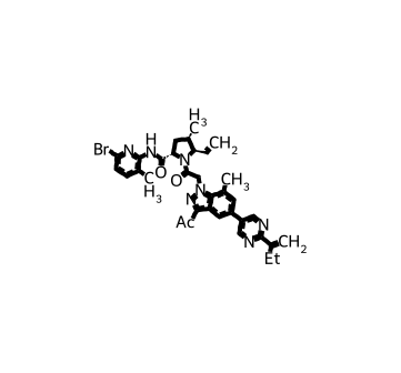 C=C[C@@H]1[C@@H](C)C[C@@H](C(=O)Nc2nc(Br)ccc2C)N1C(=O)Cn1nc(C(C)=O)c2cc(-c3cnc(C(=C)CC)nc3)cc(C)c21